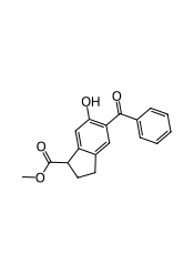 COC(=O)C1CCc2cc(C(=O)c3ccccc3)c(O)cc21